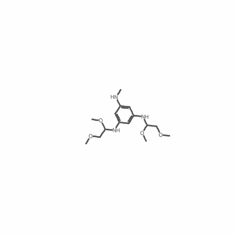 CNc1cc(NC(COC)OC)cc(NC(COC)OC)c1